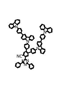 N#Cc1cc(-c2ccc(-n3c4ccccc4c4cc(-c5ccc(-n6c7ccccc7c7ccccc76)cc5)ccc43)cc2)c(-c2ccc(-n3c4ccccc4c4cc(-c5ccc(-n6c7ccccc7c7ccccc76)cc5)ccc43)cc2)cc1-c1nc(-c2ccccc2)nc(-c2ccccc2)n1